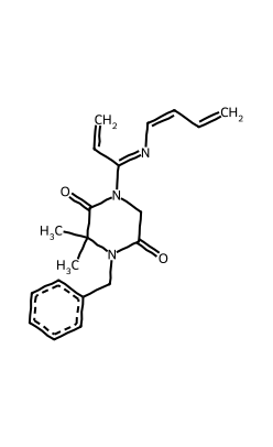 C=C/C=C\N=C(/C=C)N1CC(=O)N(Cc2ccccc2)C(C)(C)C1=O